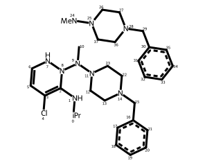 CC(C)NC1=C(Cl)C=CNN1N(C)N1CCN(Cc2ccccc2)CC1.CNN1CCN(Cc2ccccc2)CC1